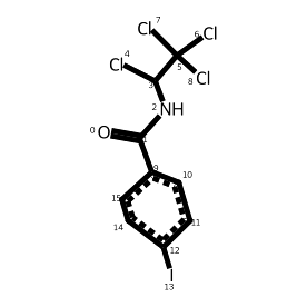 O=C(NC(Cl)C(Cl)(Cl)Cl)c1ccc(I)cc1